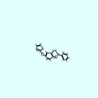 c1ccc(C2CCc3cc(Oc4nccs4)ccc3O2)cc1